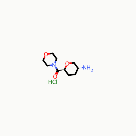 Cl.N[C@@H]1CC[C@@H](C(=O)N2CCOCC2)OC1